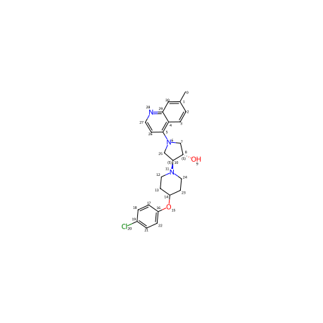 Cc1ccc2c(N3C[C@H](O)[C@@H](N4CCC(Oc5ccc(Cl)cc5)CC4)C3)ccnc2c1